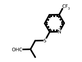 CC(C=O)CSc1ccc(C(F)(F)F)cn1